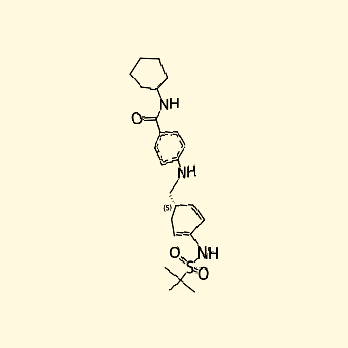 CC(C)(C)S(=O)(=O)NC1=CC[C@H](CNc2ccc(C(=O)NC3CCCCC3)cc2)C=C1